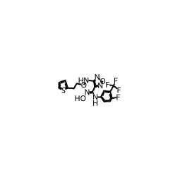 O/N=C(\Nc1ccc(F)c(C(F)(F)F)c1)c1nonc1NOCCc1cccs1